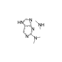 CN(C)c1ncc2[nH]cnc2n1.CNC